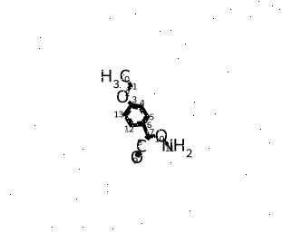 CCOc1ccc(C(=C=O)ON)cc1